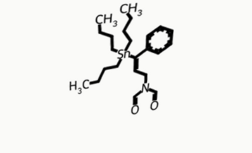 CCC[CH2][Sn]([CH2]CCC)([CH2]CCC)/[C](=C/CN(C=O)C=O)c1ccccc1